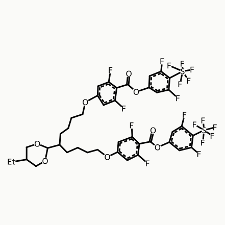 CCC1COC(C(CCCCOc2cc(F)c(C(=O)Oc3cc(F)c(S(F)(F)(F)(F)F)c(F)c3)c(F)c2)CCCCOc2cc(F)c(C(=O)Oc3cc(F)c(S(F)(F)(F)(F)F)c(F)c3)c(F)c2)OC1